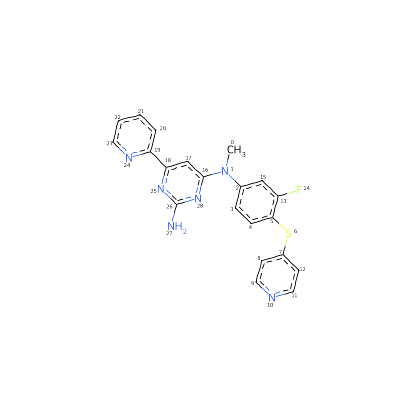 CN(c1ccc(Sc2ccncc2)c(F)c1)c1cc(-c2ccccn2)nc(N)n1